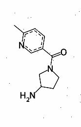 Cc1ccc(C(=O)N2CCC(N)C2)cn1